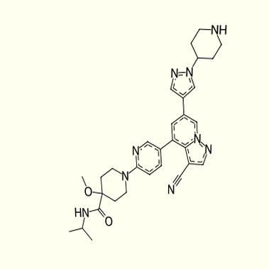 COC1(C(=O)NC(C)C)CCN(c2ccc(-c3cc(-c4cnn(C5CCNCC5)c4)cn4ncc(C#N)c34)cn2)CC1